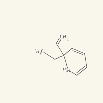 C=CC1(CC)C=CC=CN1